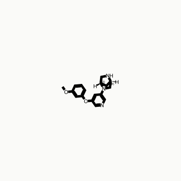 COc1cccc(Oc2cncc(N3C[C@H]4C[C@H]3CN4)c2)c1